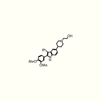 COc1ccc(-c2[nH]c3ccc(C4CCN(C[CH]O)CC4)cc3c2C(C)C)cc1OC